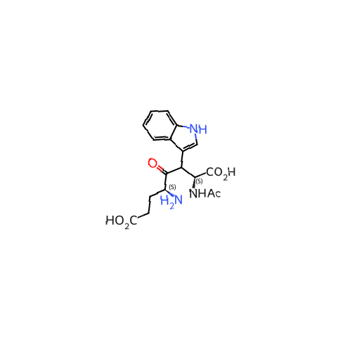 CC(=O)N[C@H](C(=O)O)C(C(=O)[C@@H](N)CCC(=O)O)c1c[nH]c2ccccc12